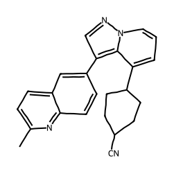 Cc1ccc2cc(-c3cnn4cccc(C5CCC(C#N)CC5)c34)ccc2n1